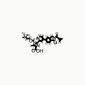 Cc1c(C(=O)O)nc(-c2cc(-c3ccc4c(c3)CN(C(C)C3CC3)C4=O)ccn2)n1COCC[Si](C)(C)C